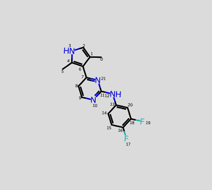 Cc1c[nH]c(C)c1-c1ccnc(Nc2ccc(F)c(F)c2)n1